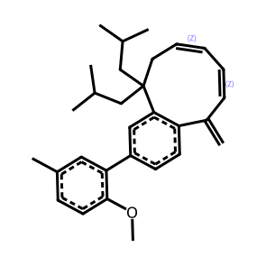 C=C1/C=C\C=C/CC(CC(C)C)(CC(C)C)c2cc(-c3cc(C)ccc3OC)ccc21